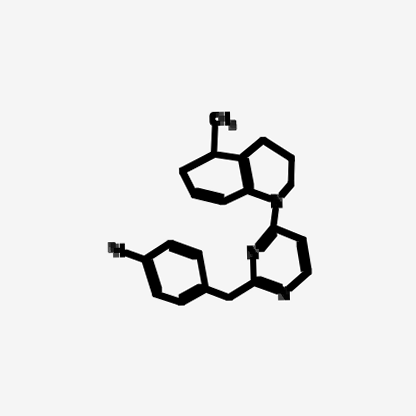 [3H]c1ccc(Cc2nccc(N3CCCC4=C3C=CCC4C)n2)cc1